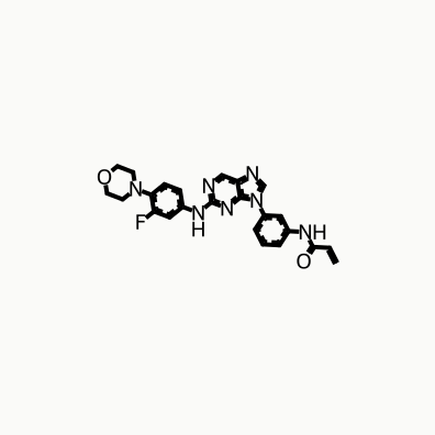 C=CC(=O)Nc1cccc(-n2cnc3cnc(Nc4ccc(N5CCOCC5)c(F)c4)nc32)c1